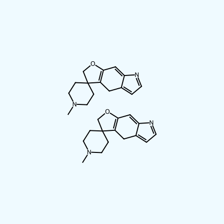 CN1CCC2(CC1)COC1=C2CC2=CC=NC2=C1.CN1CCC2(CC1)COC1=C2CC2=CC=NC2=C1